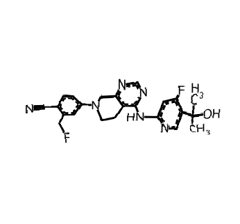 CC(C)(O)c1cnc(Nc2ncnc3c2CCN(c2ccc(C#N)c(CF)c2)C3)cc1F